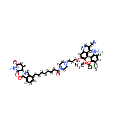 COc1cc(Nc2c(C#N)cnc3cc(OCCCN4CCN(C(=O)CCCCCCCc5cccc6c5CN(C5CCC(=O)NC5=O)C6=O)CC4)c(OC)cc23)c(Cl)cc1Cl